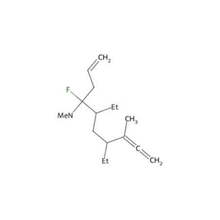 C=C=C(C)C(CC)CC(CC)C(F)(CC=C)NC